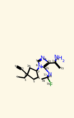 C#CC1(CC)CCC(n2cnc(C(=C)N)c2/N=C(\C)F)C1